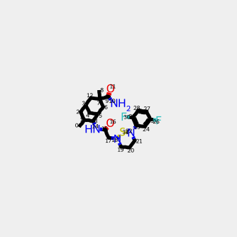 CC1CC2CC(CC(C)(C(N)=O)C2)C1NC(=O)CN1CCCN(c2cc(F)ccc2F)S1